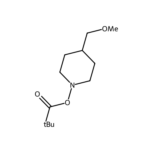 COCC1CCN(OC(=O)C(C)(C)C)CC1